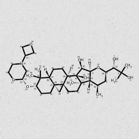 C[C@@H]1C[C@H]([C@H](O)C(C)(C)O)O[C@H]2[C@H]1[C@@]1(C)CC[C@@]34C[C@@]35CC[C@H](O[C@H]3CN(C6COC6)CCO3)C(C)(C)[C@@H]5CC[C@H]4[C@]1(C)[C@H]2O